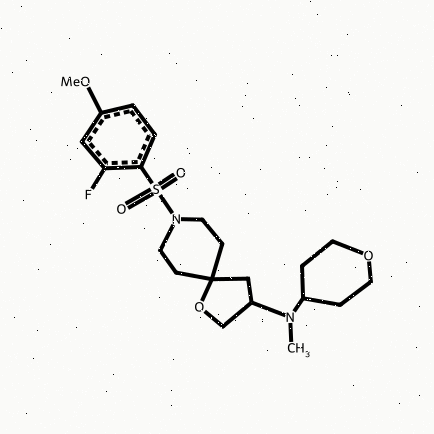 COc1ccc(S(=O)(=O)N2CCC3(CC2)CC(N(C)C2CCOCC2)CO3)c(F)c1